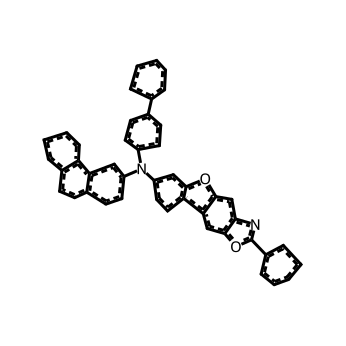 c1ccc(-c2ccc(N(c3ccc4c(c3)oc3cc5nc(-c6ccccc6)oc5cc34)c3ccc4ccc5ccccc5c4c3)cc2)cc1